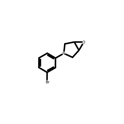 Brc1cccc(N2CC3OC3C2)c1